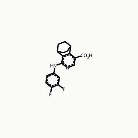 O=C(O)c1cnc(Nc2ccc(F)c(F)c2)c2c1C1CCC2CC1